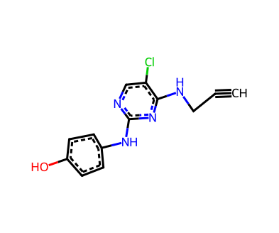 C#CCNc1nc(Nc2ccc(O)cc2)ncc1Cl